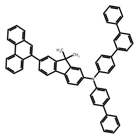 CC1(C)c2cc(-c3cc4ccccc4c4ccccc34)ccc2-c2ccc(N(c3ccc(-c4ccccc4)cc3)c3ccc(-c4cccc(-c5ccccc5)c4)cc3)cc21